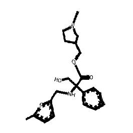 Cc1ccc(CNC(CO)(C(=O)OCC2CCN(C)C2)c2ccccc2)s1